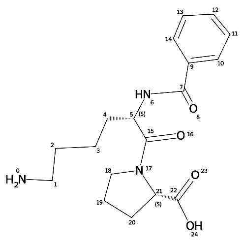 NCCCC[C@H](NC(=O)c1ccccc1)C(=O)N1CCC[C@H]1C(=O)O